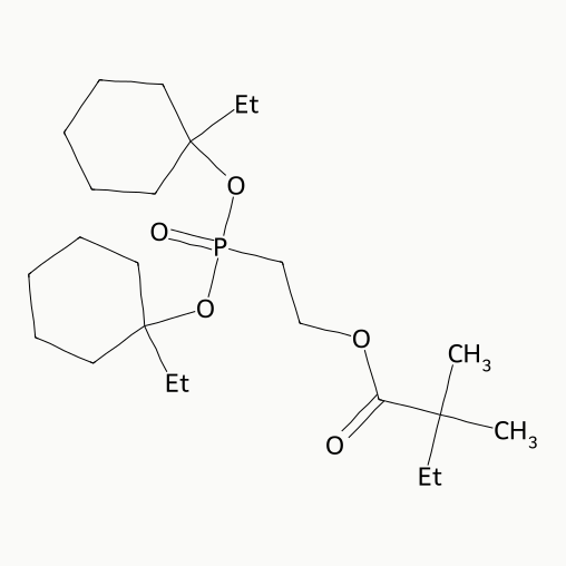 CCC1(OP(=O)(CCOC(=O)C(C)(C)CC)OC2(CC)CCCCC2)CCCCC1